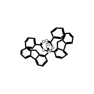 [CH2]=[Ti]([O]C(=O)c1ccccc1)([O]C(=O)c1ccccc1)([c]1cccc2c1Cc1ccccc1-2)[c]1cccc2c1Cc1ccccc1-2